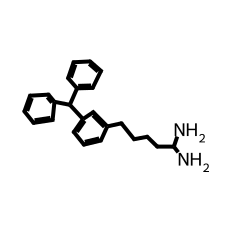 NC(N)CCCCc1cccc(C(c2ccccc2)c2ccccc2)c1